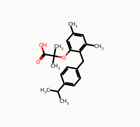 Cc1cc(C)c(Cc2ccc(C(C)C)cc2)c(OC(C)(C)C(=O)O)c1